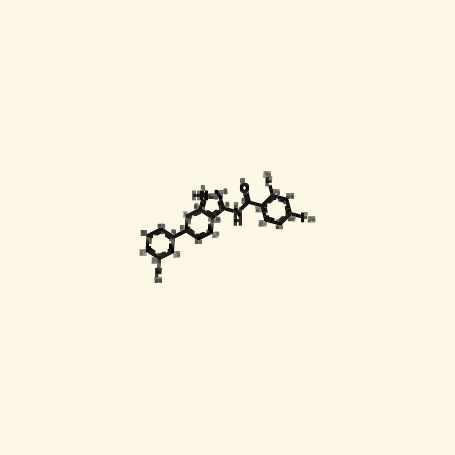 O=C(Nc1n[nH]c2cc(-c3cccc(F)c3)ccc12)c1ccc(F)cc1F